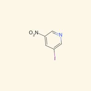 O=[N+]([O-])c1cncc(I)c1